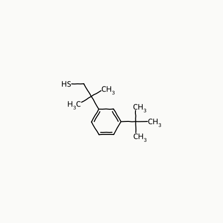 CC(C)(C)c1cccc(C(C)(C)CS)c1